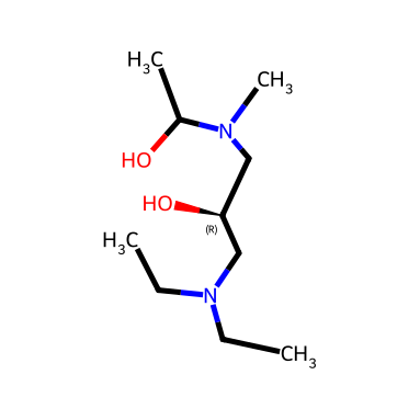 CCN(CC)C[C@@H](O)CN(C)C(C)O